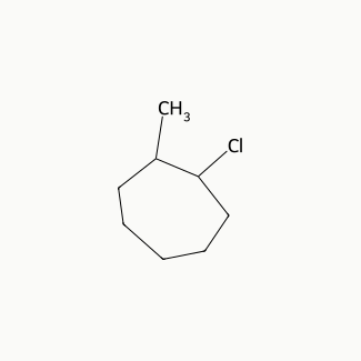 CC1CCCCCC1Cl